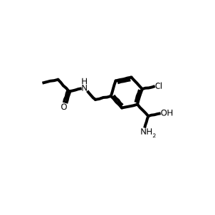 CCC(=O)NCc1ccc(Cl)c(C(N)O)c1